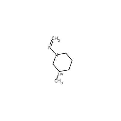 C=NN1CCC[C@H](C)C1